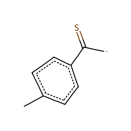 [CH2]C(=S)c1ccc(C)cc1